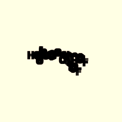 CCOC(Cc1ccc(OCCN(CCCc2ccc(F)cc2)C(=O)NCc2ccc(F)cc2)cc1)C(=O)O